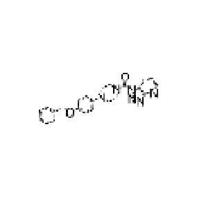 O=C(N1CCN(c2ccc(OCc3ccccc3)cc2)CC1)n1nnc2ncccc21